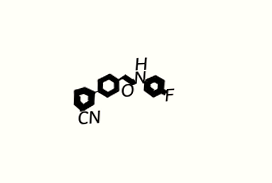 N#Cc1cccc([C@H]2CC[C@H](CC(=O)Nc3ccc(F)cc3)CC2)c1